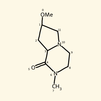 COC1CC2C(=O)N(C)CCN2C1